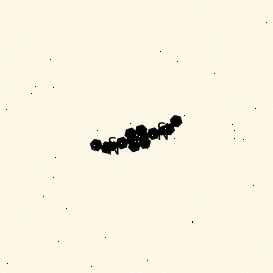 c1ccc(-c2ccc3nc(-c4ccc(-c5c6ccccc6c(-c6c7ccccc7c(-c7ccc(-c8nc9ccc(-c%10ccccc%10)cc9s8)cc7)c7ccccc67)c6ccccc56)cc4)sc3c2)cc1